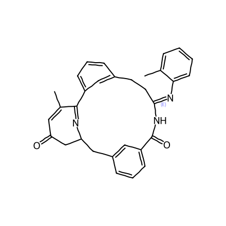 CC1=CC(=O)CC2Cc3cccc(c3)C(=O)N/C(=N/c3ccccc3C)CCc3cccc(c3)C1=N2